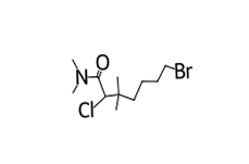 CN(C)C(=O)C(Cl)C(C)(C)CCCCBr